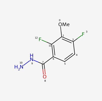 COc1c(F)ccc(C(=O)NN)c1F